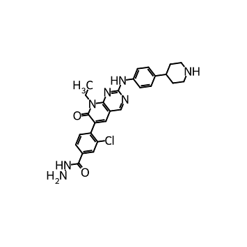 CCn1c(=O)c(-c2ccc(C(=O)NN)cc2Cl)cc2cnc(Nc3ccc(C4CCNCC4)cc3)nc21